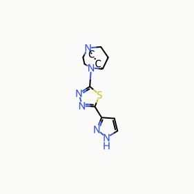 c1cc(-c2nnc(N3CCN4CCC3CC4)s2)n[nH]1